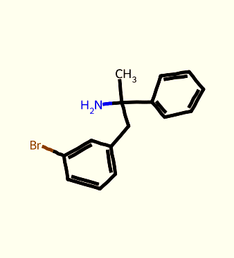 CC(N)(Cc1cccc(Br)c1)c1ccccc1